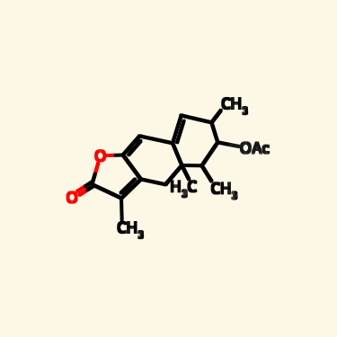 CC(=O)OC1C(C)C=C2C=C3OC(=O)C(C)=C3CC2(C)C1C